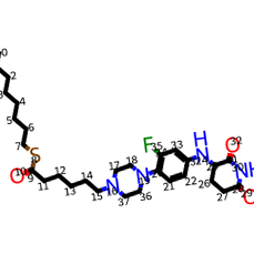 CCCCCCCCSC(=O)CCCCCN1CCN(c2ccc(NC3CCC(=O)NC3=O)cc2F)CC1